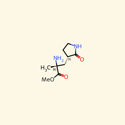 COC(=O)[C@](C)(N)C[C@@H]1CCNC1=O